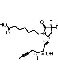 CC#CC[C@@H](C)[C@@H](O)/C=C/[C@H]1CC(F)(F)C(=O)N1CCCCCCC(=O)O